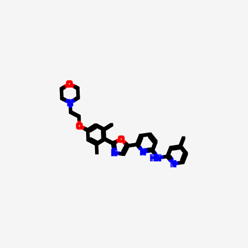 Cc1ccnc(Nc2cccc(-c3cnc(-c4c(C)cc(OCCN5CCOCC5)cc4C)o3)n2)c1